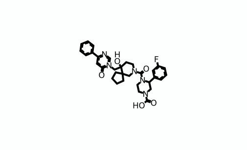 O=C(O)N1CCN(C(=O)N2CCC(O)(Cn3cnc(-c4ccccc4)cc3=O)C3(CCCC3)C2)C(c2cccc(F)c2)C1